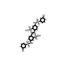 O=S(=O)(O)c1cc(NS(=O)(=O)c2cccc(Cl)c2)ccc1/C=C/c1ccc(NS(=O)(=O)c2cccc(Cl)c2)cc1S(=O)(=O)O